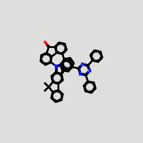 CC1(C)c2ccccc2-c2cc3c4ccccc4n(-c4cccc5c4-c4c(cccc4-c4cccc(-c6nc(-c7ccccc7)nc(-c7ccccc7)n6)c4)C5=O)c3cc21